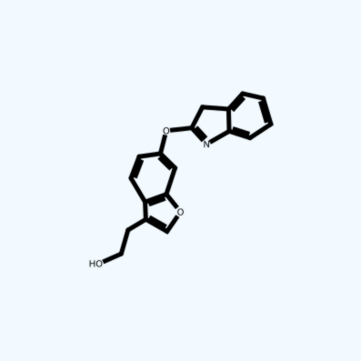 OCCc1coc2cc(OC3=Nc4ccccc4C3)ccc12